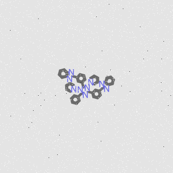 c1ccc(-c2nc(-c3cccc(-c4nc5ccccc5n4-c4cccnc4)c3)nc(-c3cccc(-c4nc5ccccc5n4-c4cccnc4)c3)n2)cc1